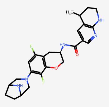 CC1CCNc2ncc(C(=O)N[C@H]3COc4c(F)c(N5CC6CCC(C5)N6)cc(F)c4C3)cc21